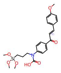 COc1ccc(/C=C/C(=O)c2ccc(N(CCC[Si](OC)(OC)OC)C(=O)O)cc2)cc1